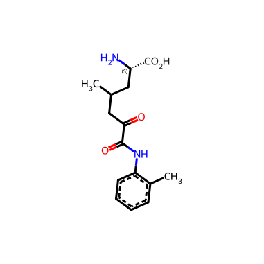 Cc1ccccc1NC(=O)C(=O)CC(C)C[C@H](N)C(=O)O